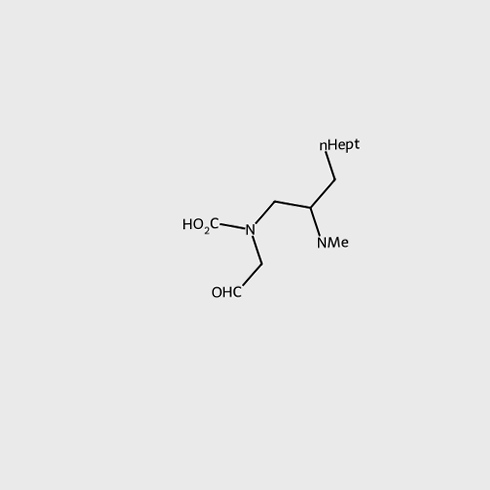 CCCCCCCCC(CN(CC=O)C(=O)O)NC